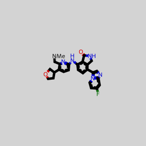 CNCc1nc(Nc2ccc(-c3cnc4cc(F)ccn34)c3c2C(=O)NC3)ccc1C1CCOC1